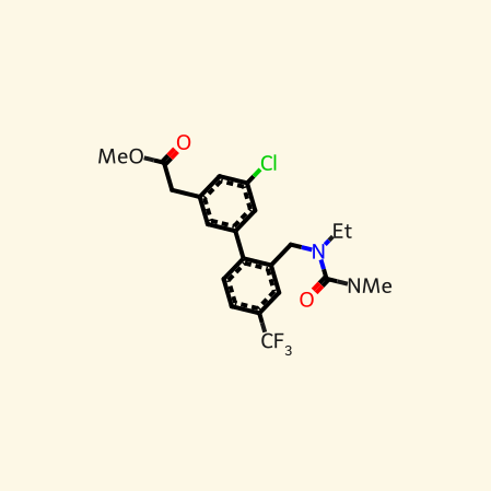 CCN(Cc1cc(C(F)(F)F)ccc1-c1cc(Cl)cc(CC(=O)OC)c1)C(=O)NC